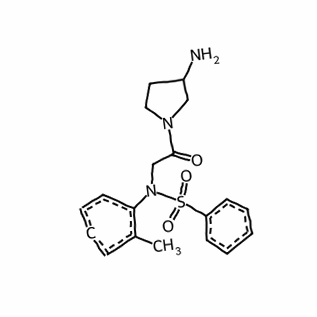 Cc1ccccc1N(CC(=O)N1CCC(N)C1)S(=O)(=O)c1ccccc1